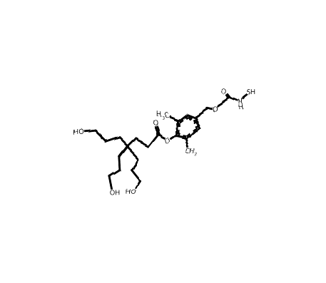 Cc1cc(COC(=O)NS)cc(C)c1OC(=O)CCC(CCCO)(CCCO)CCCO